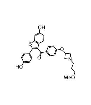 COCCCN1CC(Oc2ccc(C(=O)c3c(-c4ccc(O)cc4)sc4cc(O)ccc34)cc2)C1